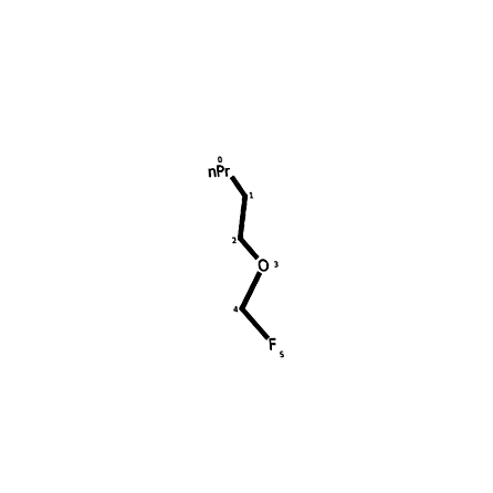 CCCCCOCF